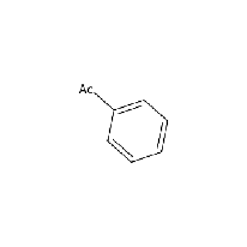 [13CH3]C(=O)c1ccccc1